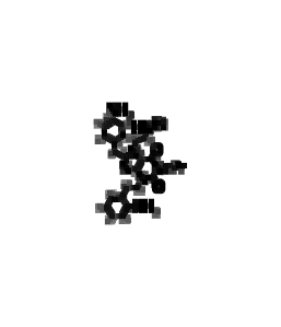 CCCn1c(=O)c2c(nc(Cc3ccc(N)cc3)n2CCNCC)n(CCc2ccccc2N)c1=O